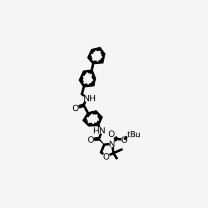 CC(C)(C)OC(=O)N1[C@H](C(=O)Nc2ccc(C(=O)NCc3ccc(-c4ccccc4)cc3)cc2)COC1(C)C